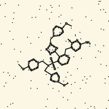 COc1ccc(CN(Cc2ccc(OC)cc2)S(=O)(=O)c2cccc(Cc3ccc(N)nc3C)c2-c2nnn(Cc3ccc(OC)cc3)n2)cc1